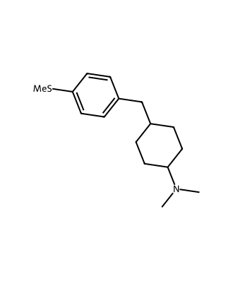 CSc1ccc(CC2CCC(N(C)C)CC2)cc1